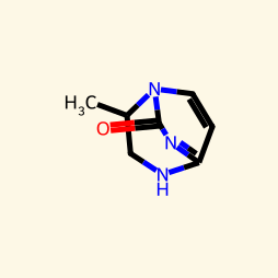 CC1CNc2ccn1c(=O)n2